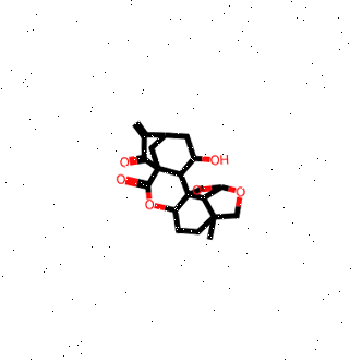 C=C1C(=O)C23CC1CC(O)C2C12COC4OCC(C)(CCC1OC3=O)C42